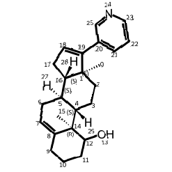 C[C@]12CC[C@H]3[C@@H](CC=C4CCCC(O)[C@@]43C)[C@@H]1CC=C2c1cccnc1